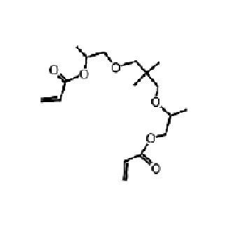 C=CC(=O)OCC(C)OCC(C)(C)COCC(C)OC(=O)C=C